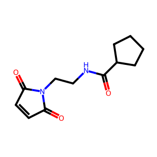 O=C(NCCN1C(=O)C=CC1=O)C1CCCC1